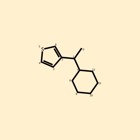 CC(c1ccsc1)C1CCCCC1